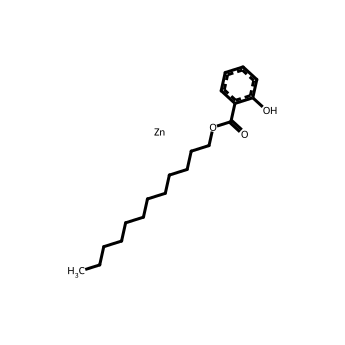 CCCCCCCCCCCCOC(=O)c1ccccc1O.[Zn]